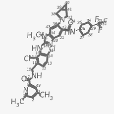 Cc1cc(C)nc(C(=O)NCc2ccc(Cl)c(Nc3nc4cc(C(=O)N[C@H]5CC[C@H](C(F)(F)F)CC5)c(N5CC6CC6C5)cc4n3C)c2Cl)c1